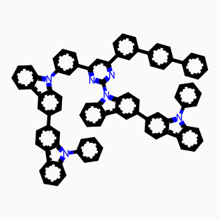 c1ccc(-c2ccc(-c3cccc(-c4cc(-c5cccc(-n6c7ccccc7c7cc(-c8ccc9c%10ccccc%10n(-c%10ccccc%10)c9c8)ccc76)c5)nc(-n5c6ccccc6c6cc(-c7ccc8c9ccccc9n(-c9ccccc9)c8c7)ccc65)n4)c3)cc2)cc1